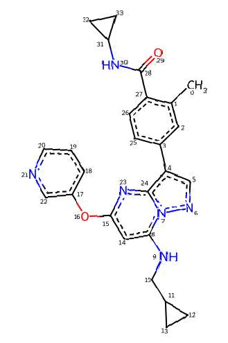 Cc1cc(-c2cnn3c(NCC4CC4)cc(Oc4cccnc4)nc23)ccc1C(=O)NC1CC1